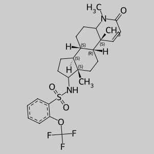 CN1C(=O)C=C[C@@]2(C)C1CC[C@@H]1[C@H]2CC[C@]2(C)C(NS(=O)(=O)c3ccccc3OC(F)(F)F)CC[C@@H]12